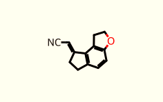 N#CC=C1CCc2ccc3c(c21)CCO3